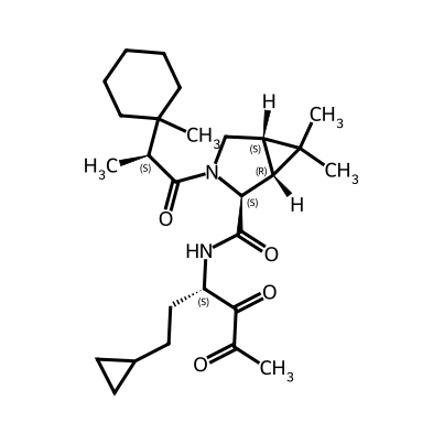 CC(=O)C(=O)[C@H](CCC1CC1)NC(=O)[C@@H]1[C@@H]2[C@H](CN1C(=O)[C@@H](C)C1(C)CCCCC1)C2(C)C